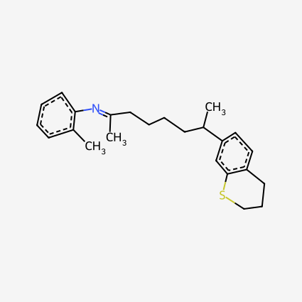 C/C(CCCCC(C)c1ccc2c(c1)SCCC2)=N\c1ccccc1C